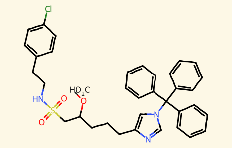 O=C(O)OC(CCCc1cn(C(c2ccccc2)(c2ccccc2)c2ccccc2)cn1)CS(=O)(=O)NCCc1ccc(Cl)cc1